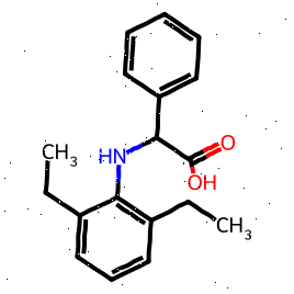 CCc1cccc(CC)c1NC(C(=O)O)c1ccccc1